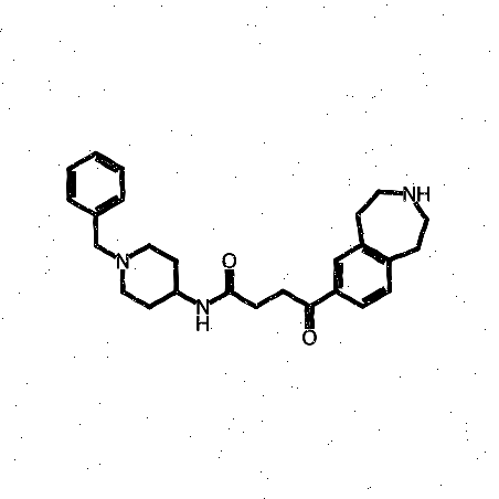 O=C(CCC(=O)c1ccc2c(c1)CCNCC2)NC1CCN(Cc2ccccc2)CC1